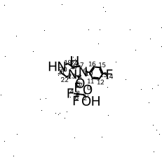 O=C(O)C(F)(F)F.O=C1N(c2ccc(F)cc2)C[C@@H]2CNCCN12